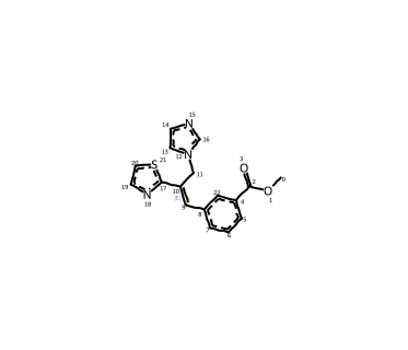 COC(=O)c1cccc(/C=C(\Cn2ccnc2)c2nccs2)c1